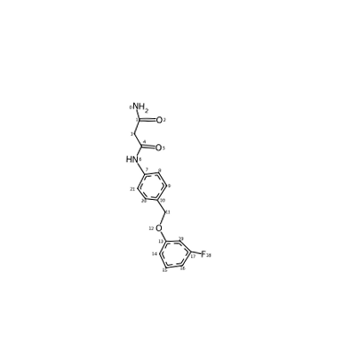 NC(=O)CC(=O)Nc1ccc(COc2cccc(F)c2)cc1